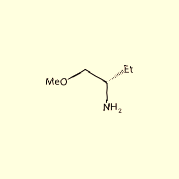 CC[C@H](N)COC